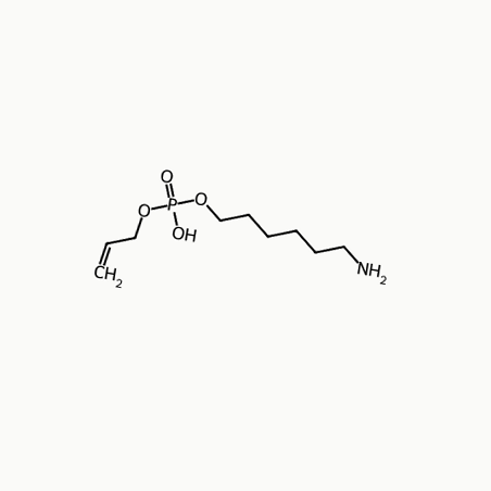 C=CCOP(=O)(O)OCCCCCCN